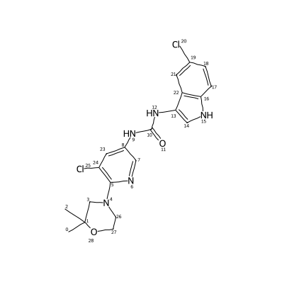 CC1(C)CN(c2ncc(NC(=O)Nc3c[nH]c4ccc(Cl)cc34)cc2Cl)CCO1